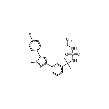 Cn1nc(-c2cccc(C(C)(C)NS(=O)(=O)NCC(F)(F)F)c2)cc1-c1ccc(F)cc1